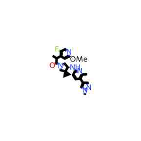 COc1cc(C(C)C(=O)N2C[C@@H](Nc3ccc(-c4cnn(C)c4)c(C)n3)C3(CC3)C2)c(F)cn1